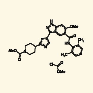 COC(=O)Cl.COC(=O)N1CCC(n2cc(-c3n[nH]c4cc(OC)c(C(=O)Nc5c(C)cccc5C)cc34)cn2)CC1